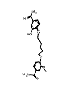 COc1cc(C(=N)N)ccc1OCCCCCOc1ccc(C(=N)N)cc1OC